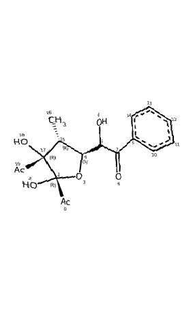 CC(=O)[C@]1(O)O[C@H](C(O)C(=O)c2ccccc2)[C@@H](C)[C@]1(O)C(C)=O